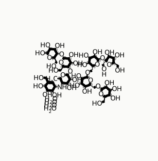 C[C@H]1O[C@H](O[C@H]2[C@H](O)[C@@H](O)[C@@H](O[C@H]3[C@H](O)[C@@H](O)[C@H](O)O[C@@H]3CO)O[C@@H]2CO)[C@H](O)[C@@H](O)[C@@H]1N[C@H]1C=C(CO)[C@@H](O)[C@H](O)[C@H]1O.O.O.O.O.OC[C@H]1O[C@H](OC[C@H]2O[C@H](OC[C@H]3O[C@H](O[C@]4(CO)O[C@H](CO)[C@@H](O)[C@@H]4O)[C@H](O)[C@@H](O)[C@@H]3O)[C@H](O)[C@@H](O)[C@H]2O)[C@H](O)[C@@H](O)[C@H]1O